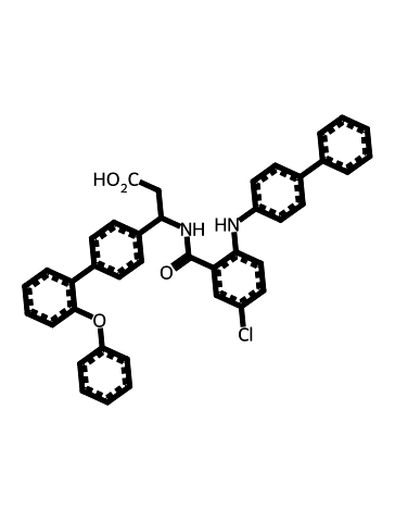 O=C(O)CC(NC(=O)c1cc(Cl)ccc1Nc1ccc(-c2ccccc2)cc1)c1ccc(-c2ccccc2Oc2ccccc2)cc1